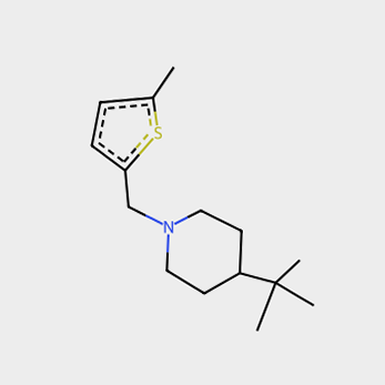 Cc1ccc(CN2CCC(C(C)(C)C)CC2)s1